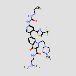 CCCNC(=O)Nc1cc(-c2nc(C(F)(F)F)cs2)c(-c2ccc3c(=O)c(C(=O)NCCN(C)C)cn(CCN4CCN(C)CC4)c3c2)cn1